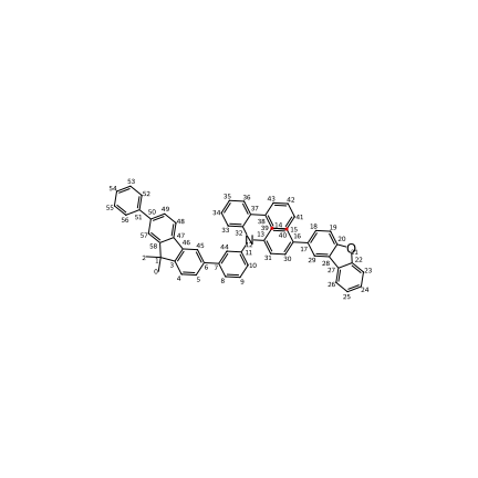 CC1(C)c2ccc(-c3cccc(N(c4ccc(-c5ccc6oc7ccccc7c6c5)cc4)c4ccccc4-c4ccccc4)c3)cc2-c2ccc(-c3ccccc3)cc21